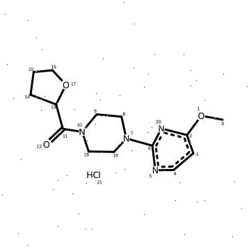 COc1ccnc(N2CCN(C(=O)C3CCCO3)CC2)n1.Cl